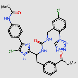 COC(=O)Nc1ccc(-c2nc(C(Cc3cccc(C(=O)OC)c3)NC(=O)NCc3cc(Cl)ccc3-n3cnnn3)[nH]c2Cl)cc1